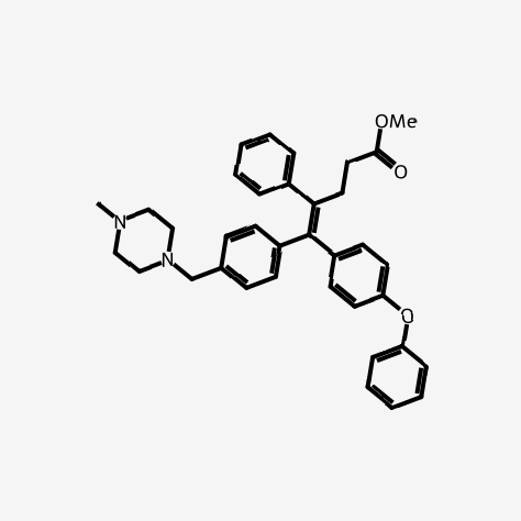 COC(=O)CC/C(=C(/c1ccc(CN2CCN(C)CC2)cc1)c1ccc(Oc2ccccc2)cc1)c1ccccc1